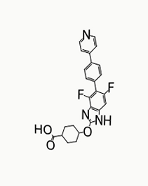 O=C(O)C1CCC(Oc2nc3c(F)c(-c4ccc(-c5ccncc5)cc4)c(F)cc3[nH]2)CC1